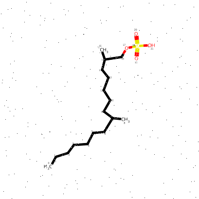 CCCCCCCC(C)CCCCCC(C)COS(=O)(=O)O